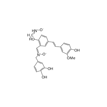 C=[NH+][O-].COc1cc(C=Cc2ccc(O)c(C=[N+]([O-])Cc3ccc(O)c(O)c3)c2)ccc1O